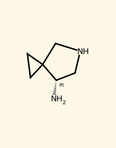 N[C@H]1CNCC12CC2